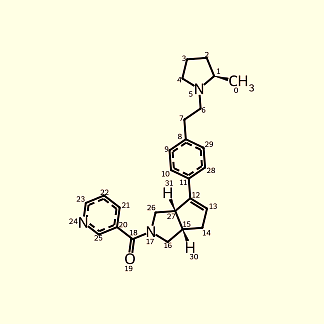 C[C@@H]1CCCN1CCc1ccc(C2=CC[C@@H]3CN(C(=O)c4cccnc4)C[C@H]23)cc1